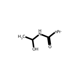 CC[CH]C(=O)NC(C)O